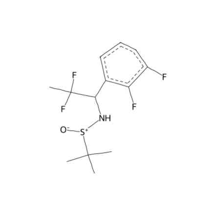 CC(F)(F)C(N[S+]([O-])C(C)(C)C)c1cccc(F)c1F